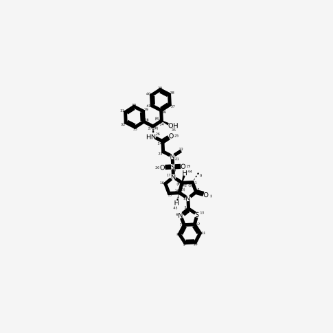 C[C@@H]1C(=O)N(c2nc3ccccc3s2)[C@H]2CCN(S(=O)(=O)N(C)CC(=O)N[C@H](c3ccccc3)[C@H](O)c3ccccc3)[C@H]12